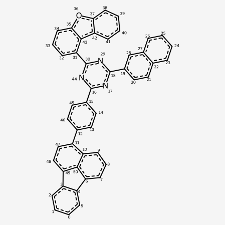 c1ccc2c(c1)-c1cccc3c(-c4ccc(-c5nc(-c6ccc7ccccc7c6)nc(-c6cccc7oc8ccccc8c67)n5)cc4)ccc-2c13